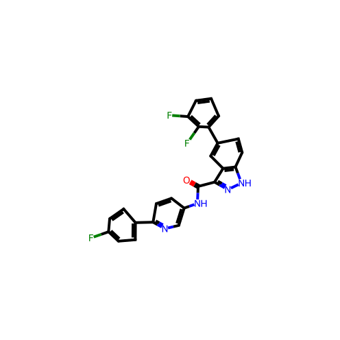 O=C(Nc1ccc(-c2ccc(F)cc2)nc1)c1n[nH]c2ccc(-c3cccc(F)c3F)cc12